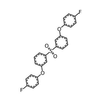 O=S(=O)(c1cccc(Oc2ccc(F)cc2)c1)c1cccc(Oc2ccc(F)cc2)c1